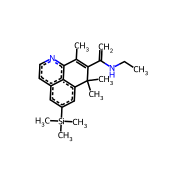 C=C(NCC)C1=C(C)c2nccc3cc([Si](C)(C)C)cc(c23)C1(C)C